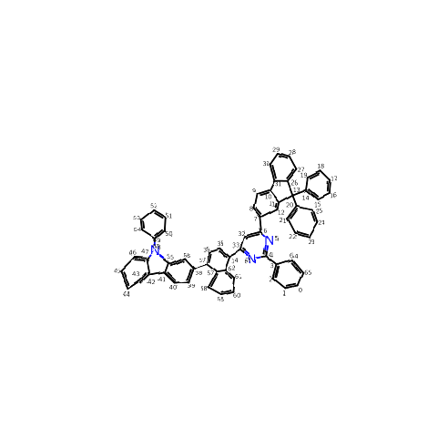 c1ccc(-c2nc(-c3ccc4c(c3)C(c3ccccc3)(c3ccccc3)c3ccccc3-4)cc(-c3ccc(-c4ccc5c6ccccc6n(-c6ccccc6)c5c4)c4ccccc34)n2)cc1